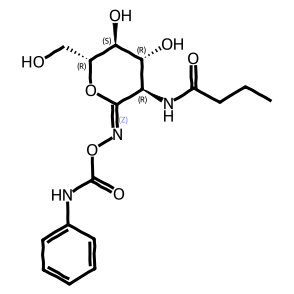 CCCC(=O)N[C@H]1/C(=N/OC(=O)Nc2ccccc2)O[C@H](CO)[C@@H](O)[C@@H]1O